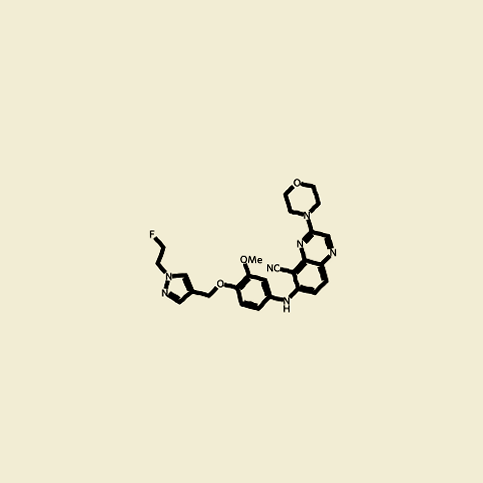 COc1cc(Nc2ccc3ncc(N4CCOCC4)nc3c2C#N)ccc1OCc1cnn(CCF)c1